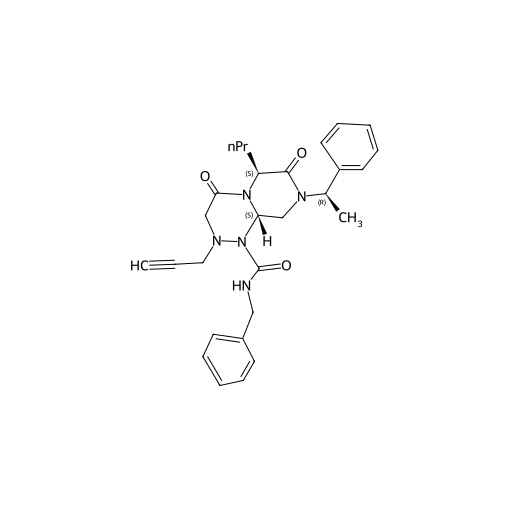 C#CCN1CC(=O)N2[C@@H](CCC)C(=O)N([C@H](C)c3ccccc3)C[C@@H]2N1C(=O)NCc1ccccc1